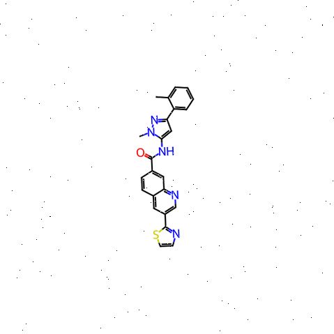 Cc1ccccc1-c1cc(NC(=O)c2ccc3cc(-c4nccs4)cnc3c2)n(C)n1